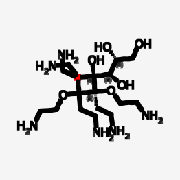 NCCOC(CCN)(CCN)[C@](CCN)(OCCN)[C@](O)(CCN)[C@H](O)[C@H](O)CO